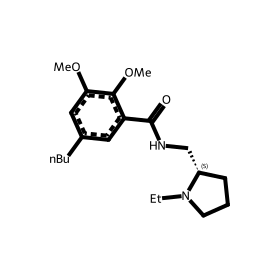 CCCCc1cc(OC)c(OC)c(C(=O)NC[C@@H]2CCCN2CC)c1